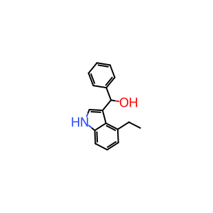 CCc1cccc2[nH]cc(C(O)c3ccccc3)c12